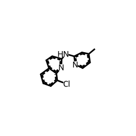 Cc1ccnc(Nc2ccc3cccc(Cl)c3n2)c1